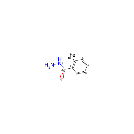 NNC(=O)c1ccccc1.[Fe]